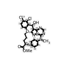 COC(=O)[C@H](N)CCCOc1ccc(Cl)c(Cl)c1C(O)c1cnn2c(N(C)c3ccccc3)ncnc12